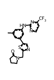 Cc1cc(Nc2nccc(C(F)(F)F)n2)cc(-c2cnc(CN3CCCC3=O)s2)c1